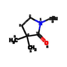 CCCCN1CCC(C)(C)C1=O